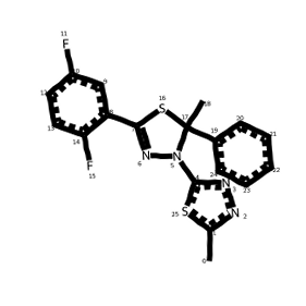 Cc1nnc(N2N=C(c3cc(F)ccc3F)SC2(C)c2ccccc2)s1